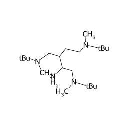 CN(CCC(CN(C)C(C)(C)C)C(N)CN(C)C(C)(C)C)C(C)(C)C